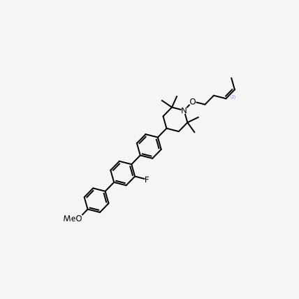 C/C=C\CCON1C(C)(C)CC(c2ccc(-c3ccc(-c4ccc(OC)cc4)cc3F)cc2)CC1(C)C